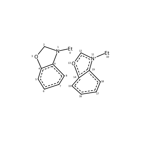 CCN1COc2ccccc21.CC[n+]1coc2ccccc21